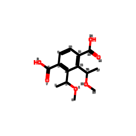 COC(C)c1c(C(=O)O)ccc(C(=O)O)c1C(C)OC